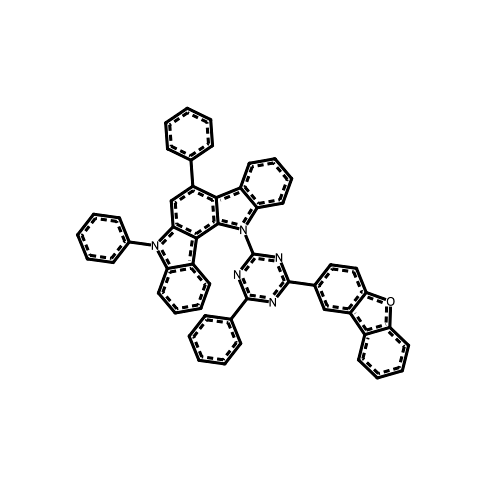 c1ccc(-c2nc(-c3ccc4oc5ccccc5c4c3)nc(-n3c4ccccc4c4c(-c5ccccc5)cc5c(c6ccccc6n5-c5ccccc5)c43)n2)cc1